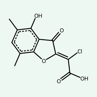 Cc1cc(C)c2c(c1O)C(=O)C(=C(Cl)C(=O)O)O2